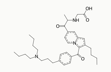 CCCCc1cc2cc(C(=O)C(C)NCC(=O)O)ccn2c1C(=O)c1ccc(CCCN(CCCC)CCCC)cc1